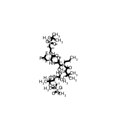 CCCN(C(=O)[C@@H](NC(=O)N[C@H](CN(C)S(C)(=O)=O)C(C)(C)C)C(C)(C)C)[C@@H](C)C(=O)N[C@@H](CC(F)F)C(=O)NCCS(=O)(=O)C(C)(C)C